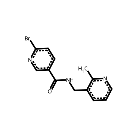 Cc1ncccc1CNC(=O)c1ccc(Br)nc1